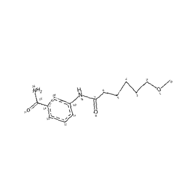 COCCCCCC(=O)Nc1cccc(C(N)=O)c1